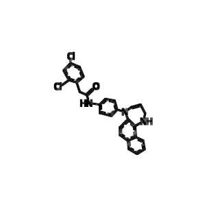 O=C(Cc1ccc(Cl)cc1Cl)Nc1ccc(N2C=CCNc3c2ccc2ccccc32)cc1